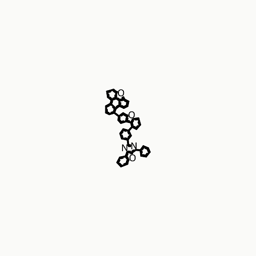 c1ccc(-c2nc(-c3cccc(-c4cccc5oc6cc(-c7cccc8c9cccc%10oc%11cccc(c78)c%11c%109)ccc6c45)c3)nc3c2oc2ccccc23)cc1